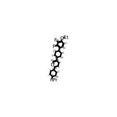 CCCC1CCC(C2CCC(C3CCC(c4ccc(OCC)c(F)c4F)CC3)=CO2)CC1